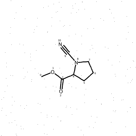 COC(=O)C1CCCN1C#N